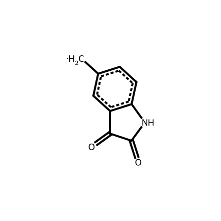 [CH2]c1ccc2c(c1)C(=O)C(=O)N2